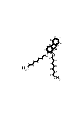 CCCCCCCCOc1ccc2c(sc3ccccc32)c1OCCCCCCCC